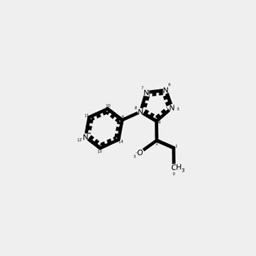 CCC([O])c1nnnn1-c1ccncc1